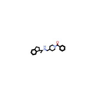 O=C(c1ccccc1)N1CCC(CN[C@@H]2C[C@]23CCc2ccccc23)CC1